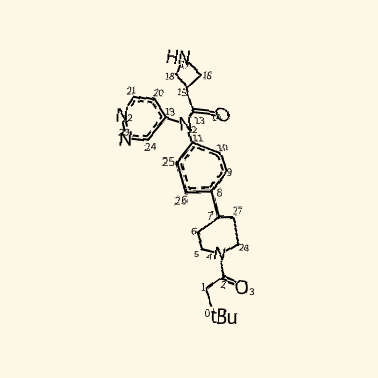 CC(C)(C)CC(=O)N1CCC(c2ccc(N(C(=O)C3CNC3)c3ccnnc3)cc2)CC1